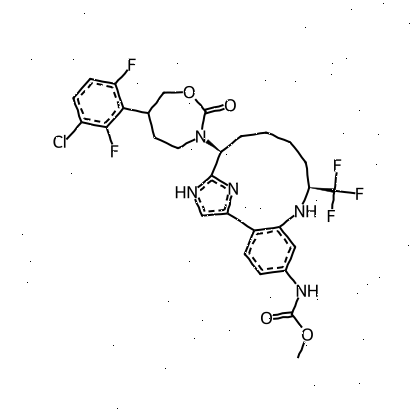 COC(=O)Nc1ccc2c(c1)N[C@H](C(F)(F)F)CCCC[C@H](N1CCC(c3c(F)ccc(Cl)c3F)COC1=O)c1nc-2c[nH]1